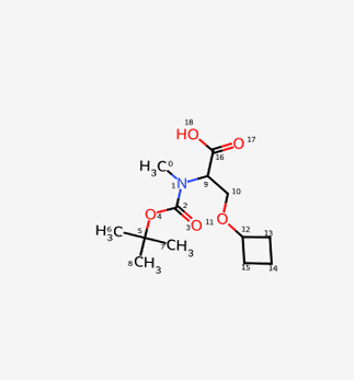 CN(C(=O)OC(C)(C)C)C(COC1CCC1)C(=O)O